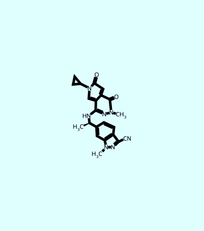 C[C@@H](Nc1nn(C)c(=O)c2cc(=O)n(C3CC3)cc12)c1ccc2c(C#N)nn(C)c2c1